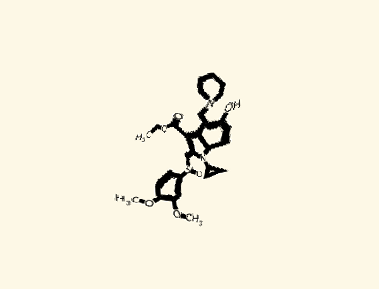 CCOC(=O)c1c(C[S+]([O-])c2ccc(OC)c(OC)c2)n(C2CC2)c2ccc(O)c(CN3CCCCC3)c12